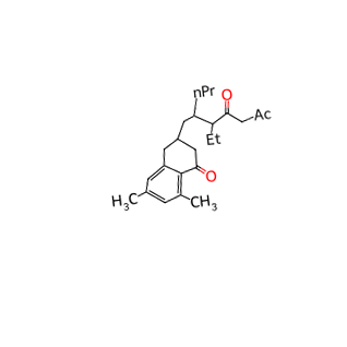 CCCC(CC1CC(=O)c2c(C)cc(C)cc2C1)C(CC)C(=O)CC(C)=O